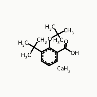 CC(C)(C)Oc1c(C(=O)O)cccc1C(C)(C)C.[CaH2]